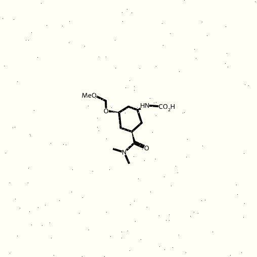 COCO[C@H]1C[C@@H](NC(=O)O)C[C@@H](C(=O)N(C)C)C1